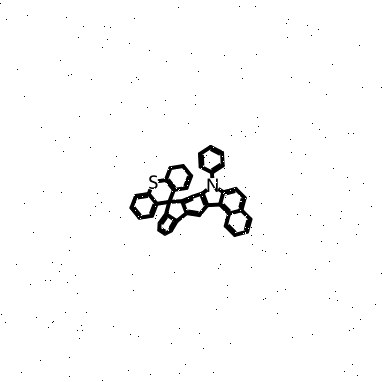 C1=CC2=C(CC1)Sc1ccccc1C21c2ccccc2-c2cc3c4c5ccccc5ccc4n(-c4ccccc4)c3cc21